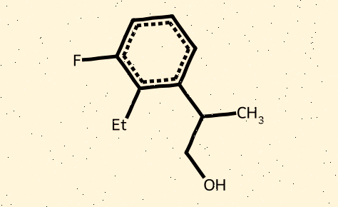 CCc1c(F)cccc1[C](C)CO